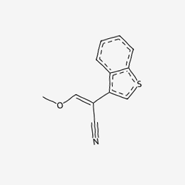 COC=C(C#N)c1csc2ccccc12